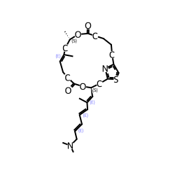 CC(/C=C/C=C/CN(C)C)=C\[C@@H]1Cc2nc(cs2)CCCCC(=O)O[C@@H](C)C/C(C)=C/CCC(=O)O1